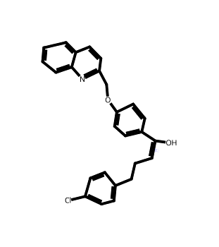 O/C(=C/CCc1ccc(Cl)cc1)c1ccc(OCc2ccc3ccccc3n2)cc1